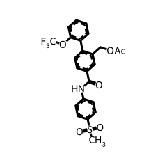 CC(=O)OCc1cc(C(=O)Nc2ccc(S(C)(=O)=O)cc2)ccc1-c1ccccc1OC(F)(F)F